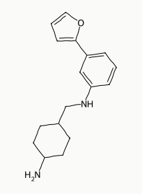 NC1CCC(CNc2cccc(-c3ccco3)c2)CC1